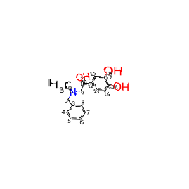 CN(Cc1ccccc1)C[C@H](O)c1ccc(O)c(O)c1